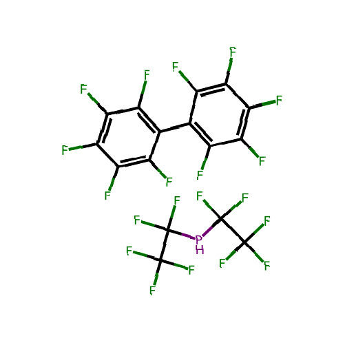 FC(F)(F)C(F)(F)PC(F)(F)C(F)(F)F.Fc1c(F)c(F)c(-c2c(F)c(F)c(F)c(F)c2F)c(F)c1F